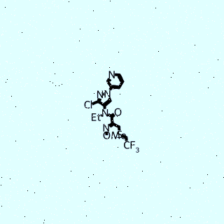 CCN(C(=O)C(CSCC(F)(F)F)=NOC)c1cn(-c2cccnc2)nc1Cl